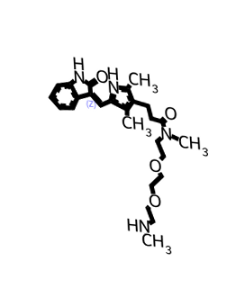 CNCCOCCOCCN(C)C(=O)CCc1c(C)[nH]c(/C=C2\C(=O)Nc3ccccc32)c1C